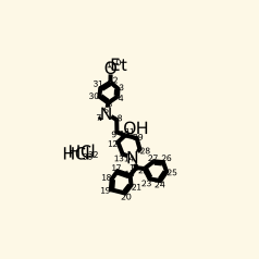 CCOc1ccc(N(C)CCC2(O)CCN(C(c3ccccc3)c3ccccc3)CC2)cc1.Cl.Cl